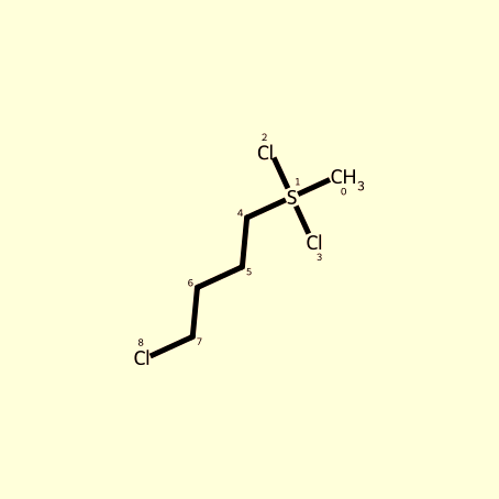 CS(Cl)(Cl)CCCCCl